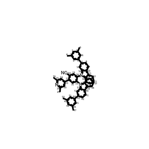 Cc1cc(C)cc(-c2ccc3c4ccccc4n(-c4cc(C#N)c(-c5cc(C)nc(C)c5)cc4-n4c5ccccc5c5ccc(-c6cc(C)cc(C)c6)cc54)c3c2)c1